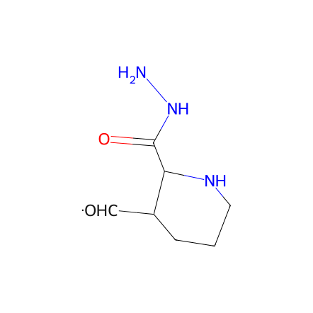 NNC(=O)C1NCCCC1[C]=O